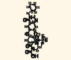 COc1cc2ncn(Cc3ccccc3)c(=O)c2cc1OC1CCC2(CC1)C(=O)N(C(=O)O)CCN2C(=O)C(F)(F)F